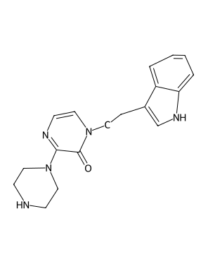 O=c1c(N2CCNCC2)nccn1CCc1c[nH]c2ccccc12